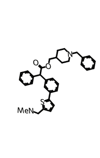 CNCc1ccc(-c2cccc(C(C(=O)OCC3CCN(Cc4ccccc4)CC3)c3ccccc3)c2)s1